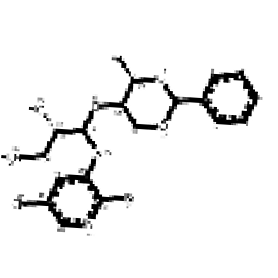 C[C@H]1OC(c2ccccc2)OCC1OC(Sc1cc(Cl)cnc1Br)[C@@H](O)CN